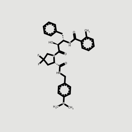 Cc1ccccc1C(=O)N[C@@H](Cc1ccccc1)[C@H](O)C(=O)N1CC(F)(F)C[C@H]1C(=O)NCc1ccc(N(C)C)cc1